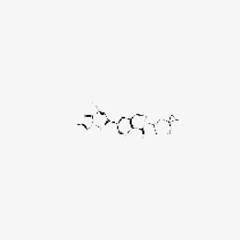 Cc1cn2nc(-c3cnc4c(=O)n(C5CCNC6(CC6)C5)ncc4c3)cc(C)c2n1